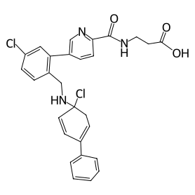 O=C(O)CCNC(=O)c1ccc(-c2cc(Cl)ccc2CNC2(Cl)C=CC(c3ccccc3)=CC2)cn1